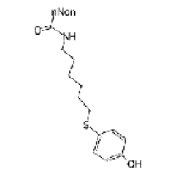 CCCCCCCCCC(=O)NCCCCCCSc1ccc(O)cc1